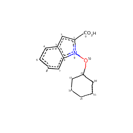 O=C(O)c1cc2ccccc2n1OC1CCCCC1